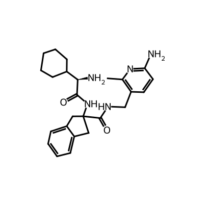 Cc1nc(N)ccc1CNC(=O)C1(NC(=O)[C@H](N)C2CCCCC2)Cc2ccccc2C1